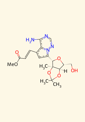 COC(=O)/C=C/c1cc([C@@H]2O[C@H](CO)[C@H]3OC(C)(C)O[C@]32C)n2ncnc(N)c12